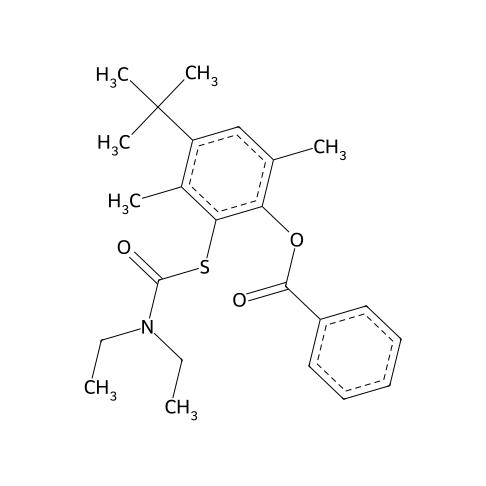 CCN(CC)C(=O)Sc1c(C)c(C(C)(C)C)cc(C)c1OC(=O)c1ccccc1